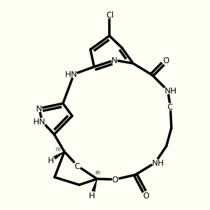 O=C1NCCCNC(=O)c2cc(Cl)cc(n2)Nc2cc([nH]n2)[C@H]2CC[C@H](C2)O1